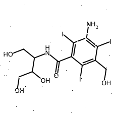 Nc1c(I)c(CO)c(I)c(C(=O)NC(CO)C(O)CO)c1I